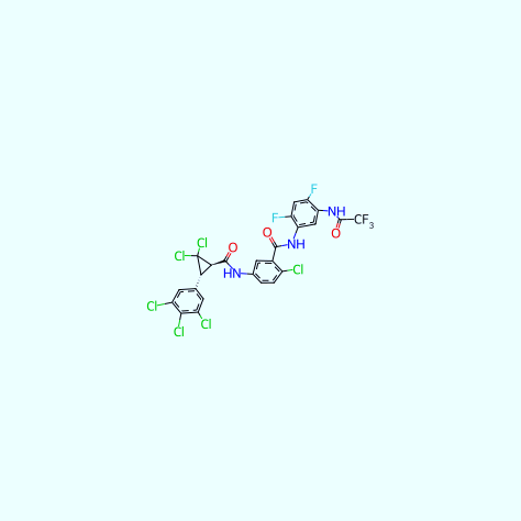 O=C(Nc1cc(NC(=O)C(F)(F)F)c(F)cc1F)c1cc(NC(=O)[C@H]2[C@H](c3cc(Cl)c(Cl)c(Cl)c3)C2(Cl)Cl)ccc1Cl